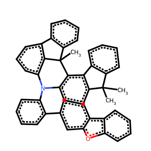 CC1(C)c2ccccc2-c2c1ccc1c2C2(C)c3ccccc3-c3cccc(c32)N1c1ccccc1-c1ccc2c(c1)oc1ccccc12